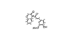 COc1cc(/C=C/C(=O)N2C(=O)COc3ccccc32)ccc1O